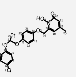 CCC(Oc1ccc(Cl)cc1)Oc1ccc(OCc2cc(C)cc(=O)n2O)cc1